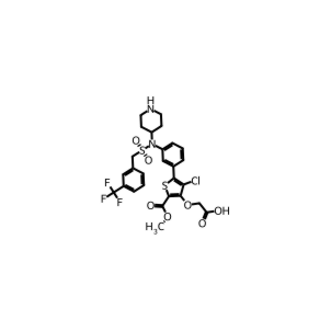 COC(=O)c1sc(-c2cccc(N(C3CCNCC3)S(=O)(=O)Cc3cccc(C(F)(F)F)c3)c2)c(Cl)c1OCC(=O)O